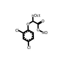 CCCCCCCCC(Oc1ccc(Cl)cc1Cl)C(=O)ON=O